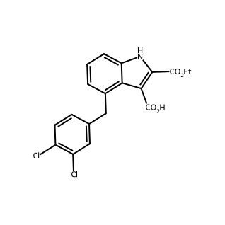 CCOC(=O)c1[nH]c2cccc(Cc3ccc(Cl)c(Cl)c3)c2c1C(=O)O